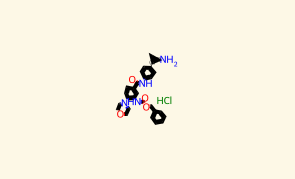 Cl.N[C@@H]1C[C@H]1c1ccc(NC(=O)c2ccc(N3CCOCC3)c(NC(=O)OCc3ccccc3)c2)cc1